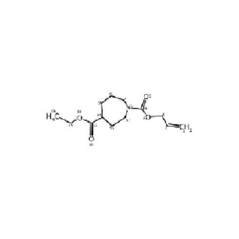 C=CCOC(=O)N1CCCC(C(=O)OCC)CC1